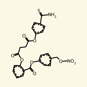 NC(=S)c1ccc(OC(=O)CCC(=O)Oc2ccccc2C(=O)Oc2ccc(CO[N+](=O)[O-])cc2)cc1